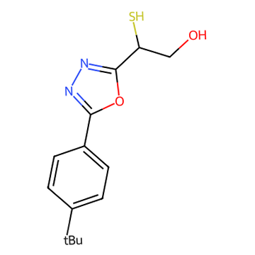 CC(C)(C)c1ccc(-c2nnc(C(S)CO)o2)cc1